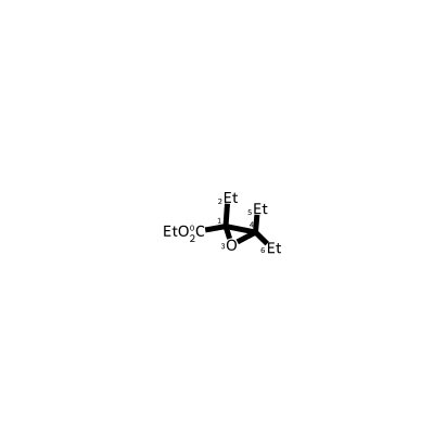 CCOC(=O)C1(CC)OC1(CC)CC